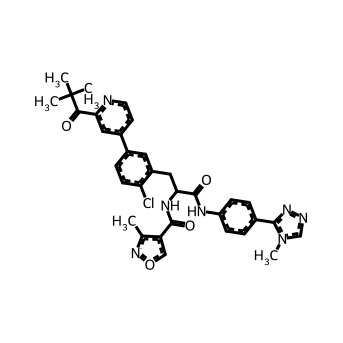 Cc1nocc1C(=O)NC(Cc1cc(-c2ccnc(C(=O)C(C)(C)C)c2)ccc1Cl)C(=O)Nc1ccc(-c2nncn2C)cc1